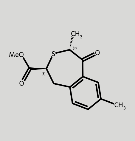 COC(=O)[C@@H]1Cc2ccc(C)cc2C(=O)[C@@H](C)S1